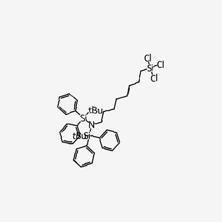 CC(C)(C)[Si](c1ccccc1)(c1ccccc1)N(CCCCCCCC[Si](Cl)(Cl)Cl)[Si](c1ccccc1)(c1ccccc1)C(C)(C)C